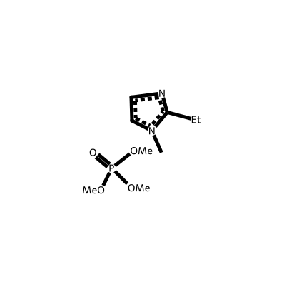 CCc1nccn1C.COP(=O)(OC)OC